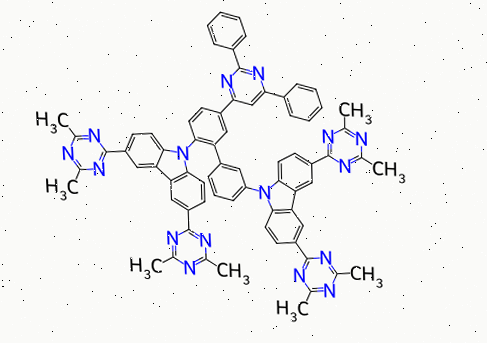 Cc1nc(C)nc(-c2ccc3c(c2)c2cc(-c4nc(C)nc(C)n4)ccc2n3-c2cccc(-c3cc(-c4cc(-c5ccccc5)nc(-c5ccccc5)n4)ccc3-n3c4ccc(-c5nc(C)nc(C)n5)cc4c4cc(-c5nc(C)nc(C)n5)ccc43)c2)n1